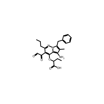 CCCc1nn2c(Cc3ccccc3)c(C)c(N)c2c(OC(CC)C(=O)O)c1C(=O)[C]=O